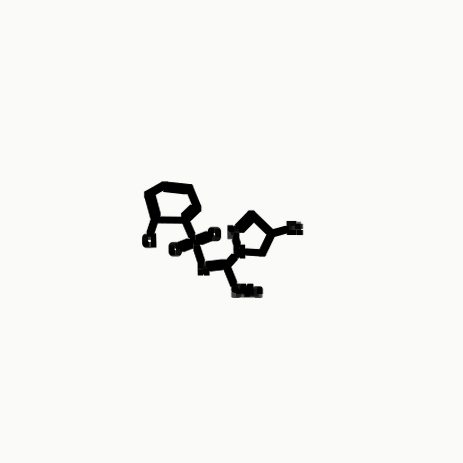 CCC1C=NN(/C(=N\S(=O)(=O)c2ccccc2Cl)SC)C1